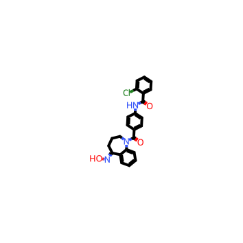 O=C(Nc1ccc(C(=O)N2CCCC(=NO)c3ccccc32)cc1)c1ccccc1Cl